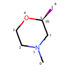 CN1CCO[C@@H](I)C1